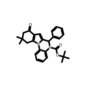 CC1(C)CC(=O)c2cc3n(c2C1)-c1ccccc1N(C(=O)OC(C)(C)C)C3c1ccccc1